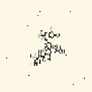 CC(C)C[C@H](NC(=O)C(=O)NC1(C)CCNC1)C(=O)N[C@@H](C[C@@H]1CCNC1=O)C(=O)COC(F)(F)F